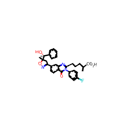 CC(CCCc1nc2cc(C3=NOC(C)([C@H](O)c4ccccc4)C3)ccc2c(=O)n1-c1ccc(F)cc1)C(=O)O